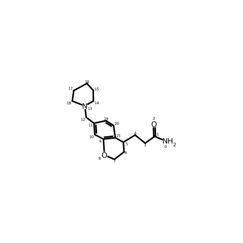 NC(=O)CCC1CCOc2cc(CN3CCCCC3)ccc21